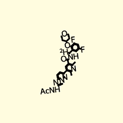 [2H]C(NC(=O)c1cc(-c2ccc3nc(NC(C)=O)cn3n2)c(C)nc1C)c1cc(F)cc(F)c1OC1CCOCC1